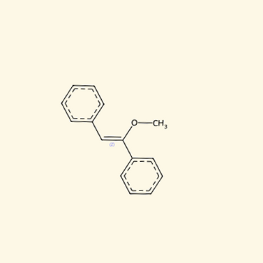 CO/C(=C\c1ccccc1)c1ccccc1